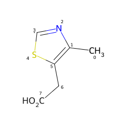 Cc1n[c]sc1CC(=O)O